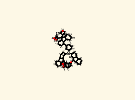 CC12c3ccccc3-c3ccc(cc31)N(c1cccc(-c3cccc4c3-c3ccccc3C43c4ccccc4Oc4ccccc43)c1)C1=CC3C(C=C1)c1ccccc1C31c3ccccc3Oc3c2cccc31